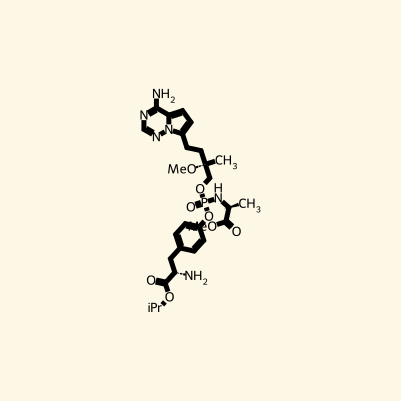 COC(=O)[C@H](C)NP(=O)(OC[C@](C)(CCc1ccc2c(N)ncnn12)OC)Oc1ccc(C[C@H](N)C(=O)OC(C)C)cc1